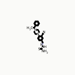 CC(c1ccccc1)N1CCN(c2ccc(/C=N/NC(N)=S)cc2C#N)CC1